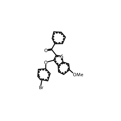 COc1ccc2c(Oc3ccc(Br)cc3)c(C(=O)c3ccccc3)sc2c1